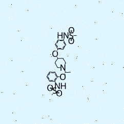 CC(Oc1ccccc1NS(C)(=O)=O)N1CCC(Oc2ccc(NS(C)(=O)=O)cc2)CC1